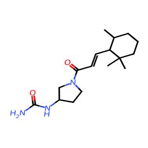 CC1CCCC(C)(C)C1C=CC(=O)N1CCC(NC(N)=O)C1